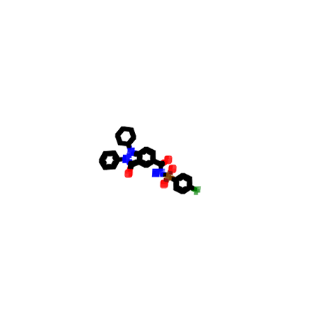 O=C(NS(=O)(=O)c1ccc(F)cc1)c1ccc2c(c1)c(=O)n(-c1ccccc1)n2C1CCCCC1